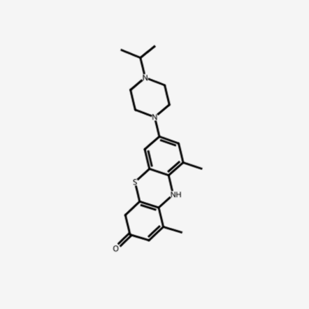 CC1=CC(=O)CC2=C1Nc1c(C)cc(N3CCN(C(C)C)CC3)cc1S2